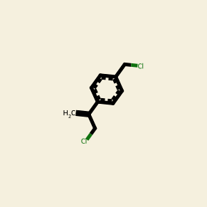 C=C(CCl)c1ccc(CCl)cc1